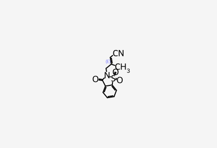 C/C(=C\C#N)CN1C(=O)c2ccccc2S1(=O)=O